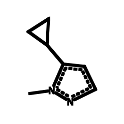 Cn1nccc1C1CC1